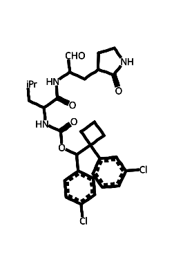 CC(C)CC(NC(=O)OC(c1ccc(Cl)cc1)C1(c2cccc(Cl)c2)CCC1)C(=O)NC(C=O)CC1CCNC1=O